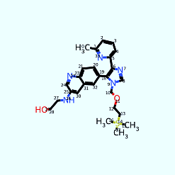 Cc1cccc(-c2ncn(COCCS(C)(C)C)c2-c2ccc3ncc(NCCO)cc3c2)n1